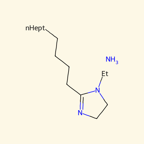 CCCCCCCCCCCC1=NCCN1CC.N